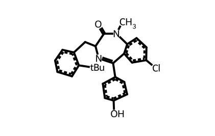 CN1C(=O)C(Cc2ccccc2C(C)(C)C)N=C(c2ccc(O)cc2)c2cc(Cl)ccc21